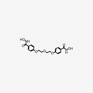 O=C(NO)c1ccc(OCCOCCOc2ccc(C(=O)NO)cc2)cc1